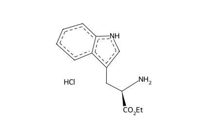 CCOC(=O)[C@H](N)Cc1c[nH]c2ccccc12.Cl